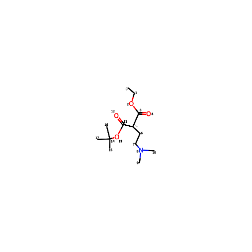 CCOC(=O)C(CCN(C)C)C(=O)OC(C)(C)C